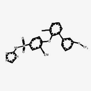 Cc1cccc(-c2cccc(OC(F)(F)F)c2)c1Oc1ccc(S(=O)(=O)Nc2ncns2)cc1C#N